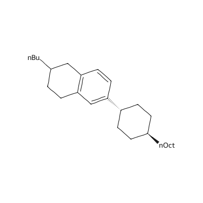 CCCCCCCC[C@H]1CC[C@H](c2ccc3c(c2)CCC(CCCC)C3)CC1